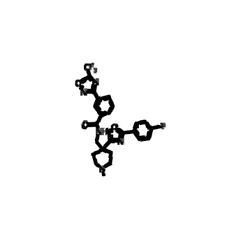 CN1CCC(CNC(=O)c2cccc(-c3noc(C(F)(F)F)n3)c2)(c2coc(-c3ccc(F)cc3)n2)CC1